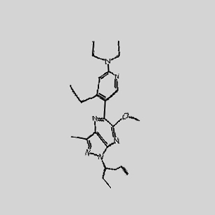 CCc1cc(N(CC)CC)ncc1-c1nc2c(C)nn(C(CC)CC)c2nc1OC